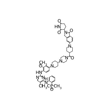 COc1cc(N2CCC(N3CCN(C(=O)C4CCN(c5ccc6c(c5)CN(C5CCC(=O)NC5=O)C6=O)CC4)CC3)CC2)ccc1Nc1ncc(Cl)c(Nc2ccccc2P(C)(C)=O)n1